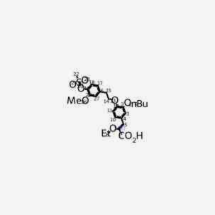 CCCCOc1cc(/C=C(\OCC)C(=O)O)ccc1OCCc1ccc(OS(C)(=O)=O)c(OC)c1